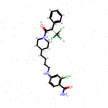 NC(=O)c1ccc(NCCCCC2CCN(C(=O)[C@H](c3ccccc3)C(F)(F)F)CC2)cc1Cl